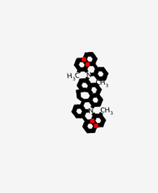 Cc1ccccc1N1c2ccc3ccc4c(N(c5ccccc5C)c5c(C)cccc5-c5ccccc5)ccc5c4c3c2C(C=C5)c2cccc(-c3ccccc3)c21